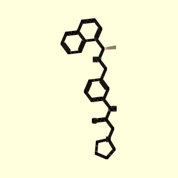 C[C@H](NCc1cccc(NC(=O)CN2CCCC2)c1)c1cccc2ccccc12